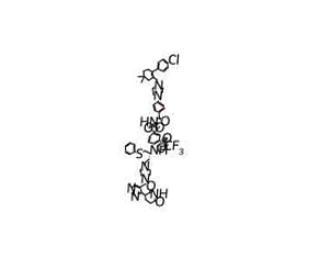 CC1(C)CCC(c2ccc(Cl)cc2)=C(CN2CCN(c3ccc(C(=O)NS(=O)(=O)c4ccc(N[C@H](CCN5CCN(Cc6cncnc6C6CCC(=O)NC6=O)CC5)CSc5ccccc5)c(S(=O)(=O)C(F)(F)F)c4)cc3)CC2)C1